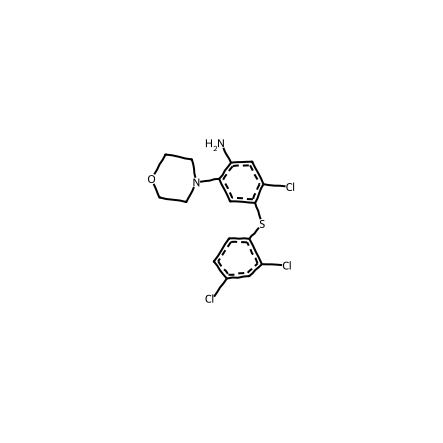 Nc1cc(Cl)c(Sc2ccc(Cl)cc2Cl)cc1N1CCOCC1